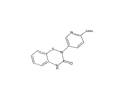 CSc1ccc(N2Sc3ccccc3NC2=O)cn1